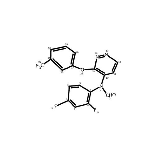 O=CN(c1ccc(F)cc1F)c1ccnnc1Oc1cccc(C(F)(F)F)c1